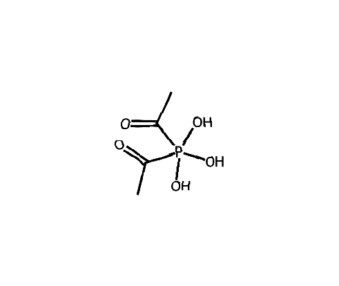 CC(=O)P(O)(O)(O)C(C)=O